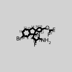 NC1=NC2(C=C1F)c1cc(Br)ccc1CC21CCC(OC(F)F)CC1